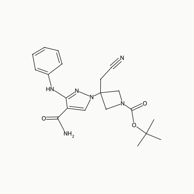 CC(C)(C)OC(=O)N1CC(CC#N)(n2cc(C(N)=O)c(Nc3ccccc3)n2)C1